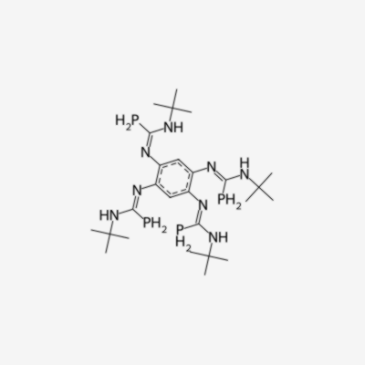 CC(C)(C)N/C(P)=N/c1cc(/N=C(\P)NC(C)(C)C)c(/N=C(/P)NC(C)(C)C)cc1/N=C(\P)NC(C)(C)C